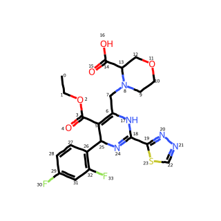 CCOC(=O)C1=C(CN2CCOCC2C(=O)O)NC(c2nncs2)=NC1c1ccc(F)cc1F